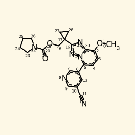 COc1ccc(-c2cncc(C#N)c2)n2nc(C3(COC(=O)N4CCCC4)CC3)nc12